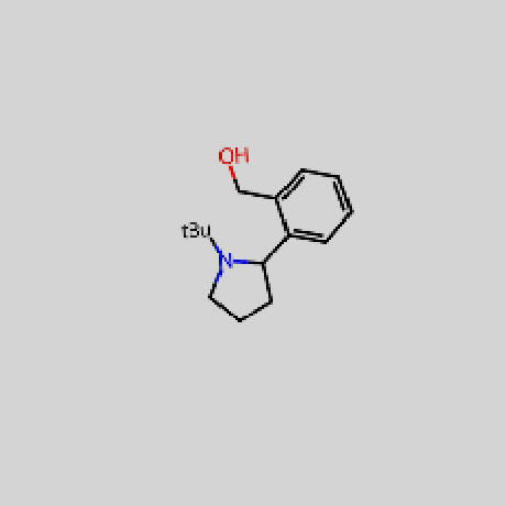 CC(C)(C)N1CCCC1c1ccccc1CO